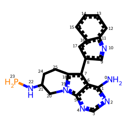 Nc1ncnc2c1c(-c1cnc3ccccc3c1)c1n2CC(NP)CC1